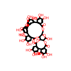 O=C1OC2C(O)OC3COC(=O)c4cc(O)c(O)c(O)c4-c4c(O)c(O)c5oc(=O)c6c(c(O)c(O)c7oc(=O)c4c5c76)-c4c(cc(O)c(O)c4O)C(=O)OC3C2OC(=O)c2cc(O)c(O)c(O)c2-c2c1cc(O)c(O)c2O